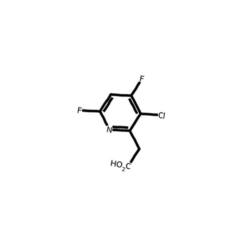 O=C(O)Cc1nc(F)cc(F)c1Cl